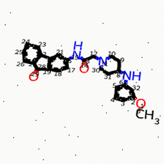 COc1cccc(NC2CCN(CC(=O)Nc3ccc4c(c3)-c3ccccc3C4=O)CC2)c1